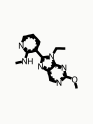 CCn1c(-c2cccnc2NC)nc2cnc(OC)nc21